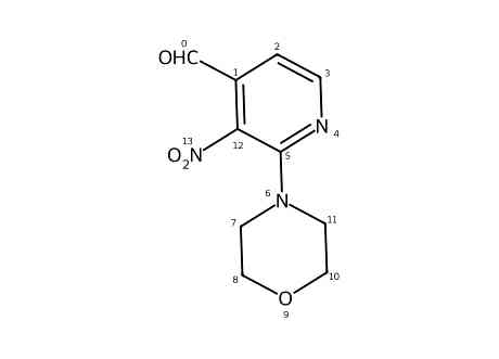 O=Cc1ccnc(N2CCOCC2)c1[N+](=O)[O-]